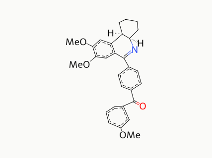 COc1cccc(C(=O)c2ccc(C3=N[C@@H]4CCCC[C@@H]4c4cc(OC)c(OC)cc43)cc2)c1